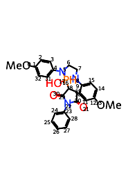 COc1ccc(N2CCN(c3ccc(OC)cc3)[PH]2(O)C2CC(=O)N(c3ccccc3)C2=O)cc1